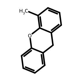 Cc1cccc2c1Oc1ccccc1C2